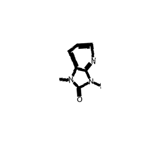 Cn1c(=O)n(I)c2ncccc21